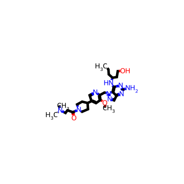 CCCC(CCO)Nc1nc(N)nc2cnn(Cc3ncc(C4CCN(C(=O)CCN(C)C)CC4)cc3OC)c12